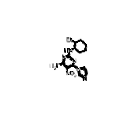 CCC1CCCCC1Nc1nc(C)c([N+](=O)[O-])c(-n2ccnc2)n1